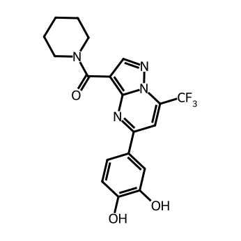 O=C(c1cnn2c(C(F)(F)F)cc(-c3ccc(O)c(O)c3)nc12)N1CCCCC1